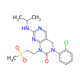 CC(C)Nc1ncc2c(n1)N(CCS(C)(=O)=O)C(=O)N(c1ccccc1Cl)C2